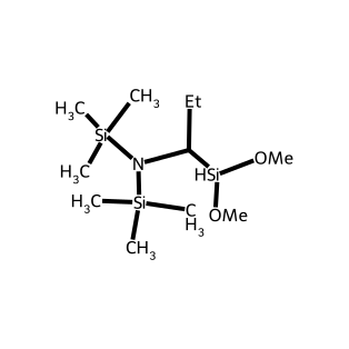 CCC(N([Si](C)(C)C)[Si](C)(C)C)[SiH](OC)OC